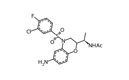 CC(=O)N[C@H](C)C1CN(S(=O)(=O)c2ccc(F)c(Cl)c2)c2cc(N)ccc2O1